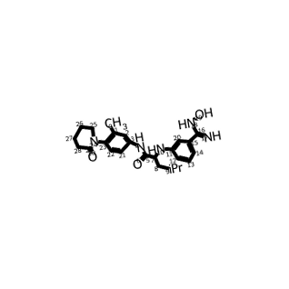 Cc1cc(NC(=O)C(CC(C)C)Nc2cccc(C(=N)NO)c2)ccc1N1CCCCC1=O